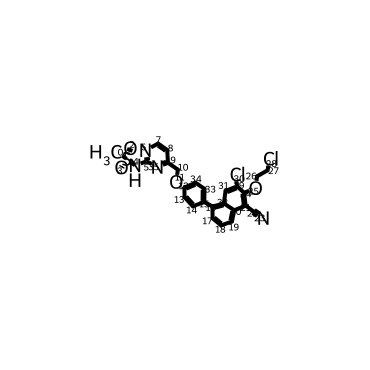 CS(=O)(=O)Nc1nccc(COc2ccc(-c3cccc4c(C#N)c(OCCCl)c(Cl)cc34)cc2)n1